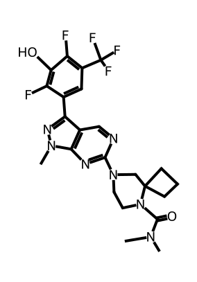 CN(C)C(=O)N1CCN(c2ncc3c(-c4cc(C(F)(F)F)c(F)c(O)c4F)nn(C)c3n2)CC12CCC2